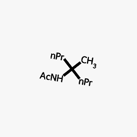 CCCC(C)(CCC)NC(C)=O